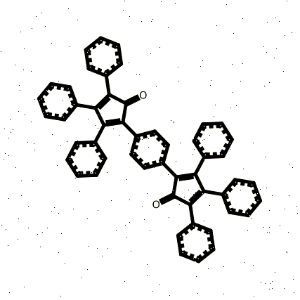 O=C1C(c2ccccc2)=C(c2ccccc2)C(c2ccccc2)=C1c1ccc(C2=C(c3ccccc3)C(c3ccccc3)=C(c3ccccc3)C2=O)cc1